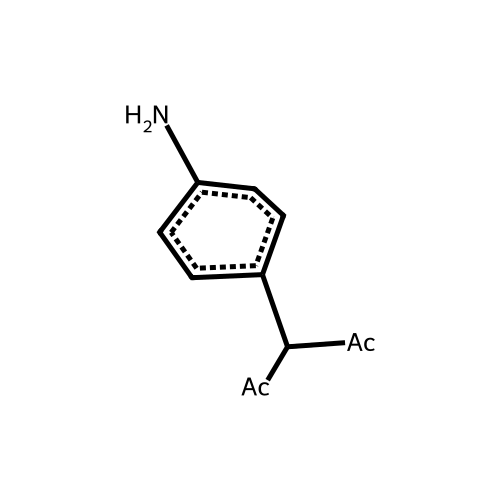 CC(=O)C(C(C)=O)c1ccc(N)cc1